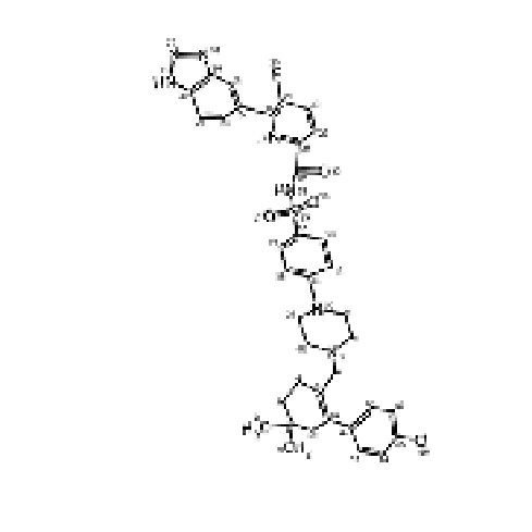 CC1(C)CCC(CN2CCN(c3ccc(S(=O)(=O)NC(=O)c4ccc(F)c(-c5ccc6[nH]nnc6c5)n4)cc3)CC2)=C(c2ccc(Cl)cc2)C1